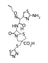 C=CCON=C(C(=O)NC1C(=O)N2CC(CSc3nncs3)(C(=O)O)CS[C@H]12)c1csc(N)n1